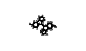 Cc1ccc2c(c1)-c1ccsc1C2=C1c2ccc(C)cc2-c2ccsc21